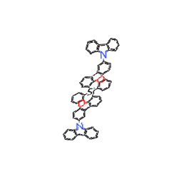 c1ccc([Si](c2ccccc2)(c2cccc3c2oc2ccc(-n4c5ccccc5c5ccccc54)cc23)c2cccc3c2oc2ccc(-n4c5ccccc5c5ccccc54)cc23)cc1